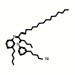 CCCCCCCCCCCCCCC=CC(=Nc1cccc(CCCCC)c1)C(CCCC)=Nc1cccc(CCCCC)c1.[Ni]